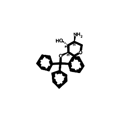 N[C@H]1COC[C@@H](OC(c2ccccc2)(c2ccccc2)c2ccccc2)[C@@H]1O